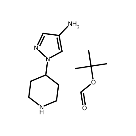 CC(C)(C)OC=O.Nc1cnn(C2CCNCC2)c1